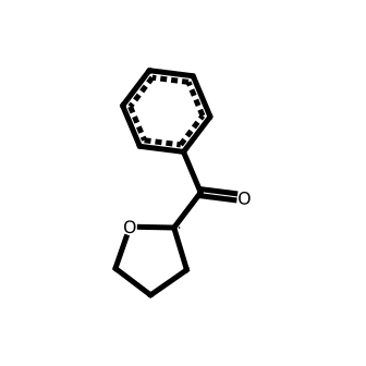 O=C([C]1CCCO1)c1ccccc1